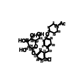 CC(=O)N1CCC(Oc2ccc(Cc3cc(O[C@@H]4O[C@H](CO)[C@@H](O)[C@H](O)[C@H]4O)ccc3Cl)cc2)CC1